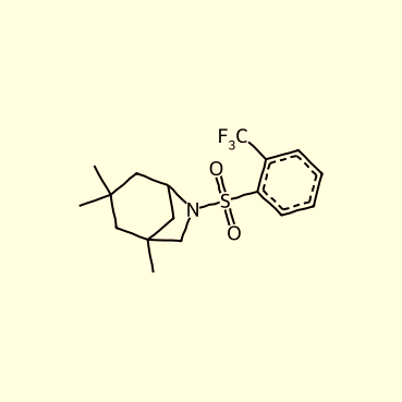 CC1(C)CC2CC(C)(CN2S(=O)(=O)c2ccccc2C(F)(F)F)C1